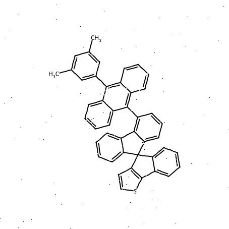 Cc1cc(C)cc(-c2c3ccccc3c(-c3cccc4c3-c3ccccc3C43c4ccccc4-c4sccc43)c3ccccc23)c1